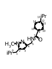 CC(C)Cc1cc(CNC(=O)c2ccc(C(C)C)cc2)nn1C